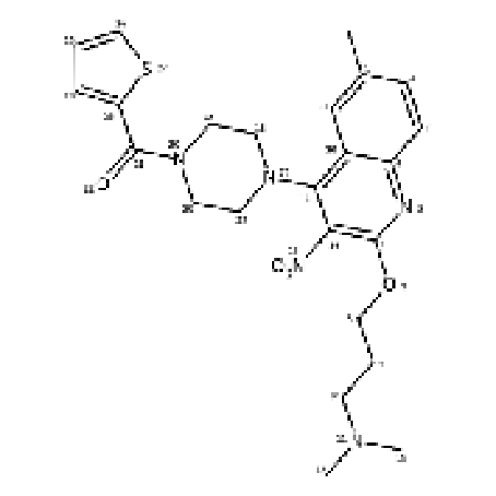 Cc1ccc2nc(OCCCN(C)C)c([N+](=O)[O-])c(N3CCN(C(=O)c4cccs4)CC3)c2c1